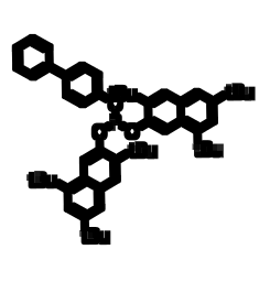 CC(C)(C)c1cc(C(C)(C)C)c2cc(OP(Oc3ccc(-c4ccccc4)cc3)Oc3cc4c(C(C)(C)C)cc(C(C)(C)C)cc4cc3C(C)(C)C)c(C(C)(C)C)cc2c1